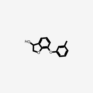 Cc1cccc(Oc2cccc3c2OCC3O)c1